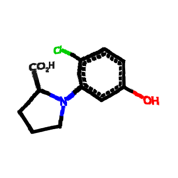 O=C(O)C1CCCN1c1cc(O)ccc1Cl